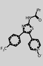 CC(C)C(=O)Nc1nc(-c2ccc(C(F)(F)F)cc2)c(-c2cc[n+]([O-])cc2)s1